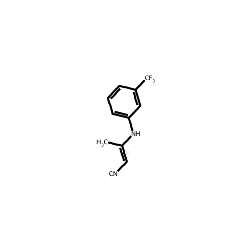 [C-]#[N+]/C=C(\C)Nc1cccc(C(F)(F)F)c1